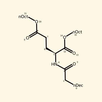 CCCCCCCCCCCC(=O)N[C@@H](CCC(=O)OCCCCCCCC)C(=O)OCCCCCCCC